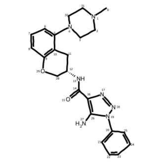 CN1CCN(c2cccc3c2C[C@H](NC(=O)c2nnn(-c4ccccc4)c2N)CO3)CC1